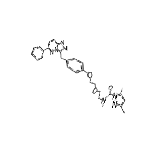 Cc1cc(C)n(C(=O)N(C)CCOCCOc2ccc(Cc3nnc4ccc(-c5ccccc5)nn34)cc2)n1